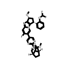 COC(=O)[C@@H]1[C@@H]2CC[C@H]1CN(c1ncc(-c3cn4c5c(nc4cc3F)[C@H](OC)C[C@@H]5c3ccccc3OC(F)F)cn1)C2